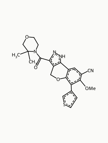 COc1c(C#N)cc2c(c1-c1ccsc1)OCc1c(C(=O)N3CCOCC3(C)C)n[nH]c1-2